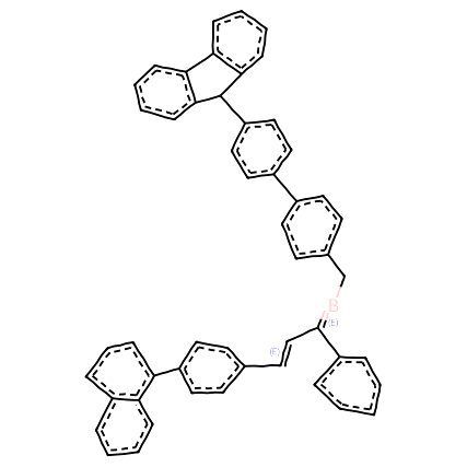 B(/Cc1ccc(-c2ccc(C3c4ccccc4-c4ccccc43)cc2)cc1)=C(/C=C/c1ccc(-c2cccc3ccccc23)cc1)c1ccccc1